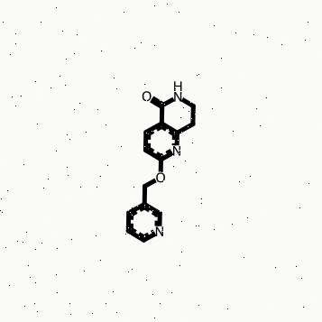 O=C1NCCc2nc(OCc3cccnc3)ccc21